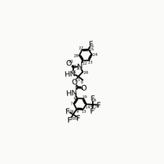 CC1(OC(=O)Nc2cc(C(F)(F)F)cc(C(F)(F)F)c2)CN(c2ccc(F)cc2)C(=O)N1